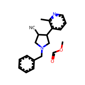 COC=O.Cc1ncccc1C1CN(Cc2ccccc2)CC1C#N